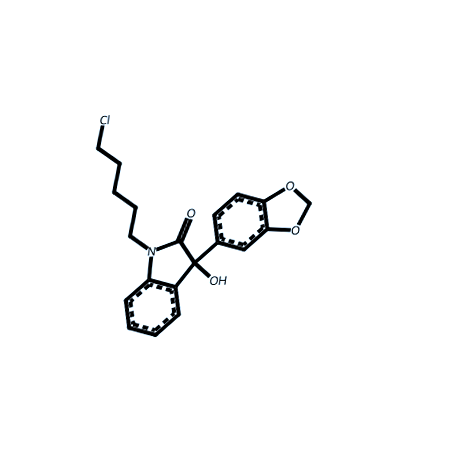 O=C1N(CCCCCCl)c2ccccc2C1(O)c1ccc2c(c1)OCO2